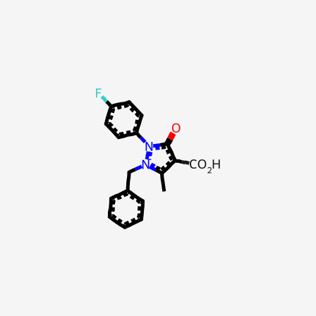 Cc1c(C(=O)O)c(=O)n(-c2ccc(F)cc2)n1Cc1ccccc1